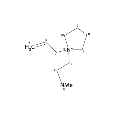 [CH2]NCC[N+]1(CC=C)CCCC1